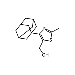 Cc1nc(C23CC4CC(CC(C4)C2)C3)c(CO)s1